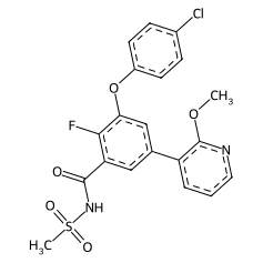 COc1ncccc1-c1cc(Oc2ccc(Cl)cc2)c(F)c(C(=O)NS(C)(=O)=O)c1